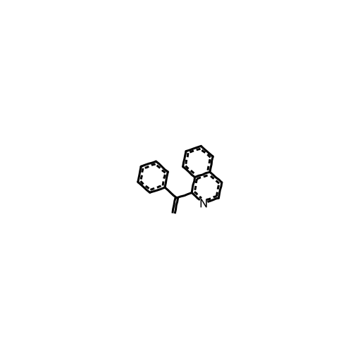 C=C(c1ccccc1)c1nccc2ccccc12